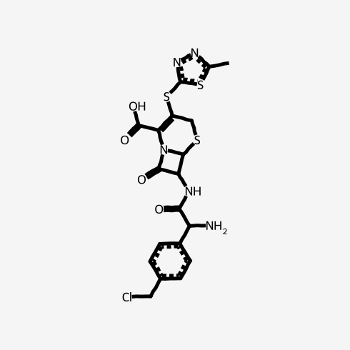 Cc1nnc(SC2=C(C(=O)O)N3C(=O)C(NC(=O)C(N)c4ccc(CCl)cc4)C3SC2)s1